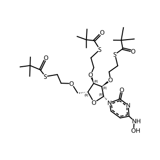 CC(C)(C)C(=O)SCCOC[C@H]1O[C@@H](n2ccc(NO)nc2=O)[C@H](OCCSC(=O)C(C)(C)C)[C@@H]1OCCSC(=O)C(C)(C)C